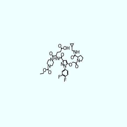 CCOC(=O)N1CCN(C(=O)C(CCC(=O)O)NC(=O)c2cc(OCC(=O)N3CCCC3C(=O)NCC3CC3)n(-c3ccc(F)c(F)c3)n2)CC1